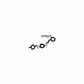 CCCCCCCC1CCCCC1CCCOc1ccc(OCC2CCC(C)CC2)cc1